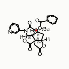 CC(C)(C)[C@]1(O)C[C@@H]2OC(=O)C[C@@]23C(=O)O[C@@H]2N(c4cccnc4)C(=O)[C@H](OC(=O)c4ccccc4)[C@]213